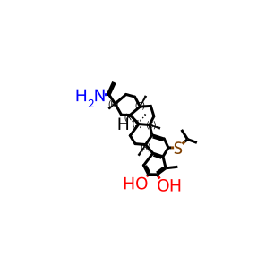 C=C(N)[C@]1(C)CC[C@]2(C)CC[C@]3(C)C4=CC(SC(C)C)c5c(cc(O)c(O)c5C)[C@]4(C)CC[C@@]3(C)[C@@H]2C1